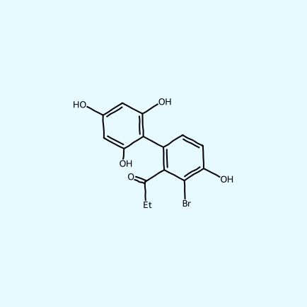 CCC(=O)c1c(-c2c(O)cc(O)cc2O)ccc(O)c1Br